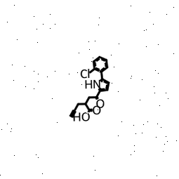 C#CCC(CC(=O)c1ccc(-c2ccccc2Cl)[nH]1)C(=O)O